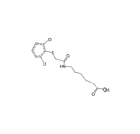 O=C(O)CCCCCNC(=O)CSc1c(Cl)cccc1Cl